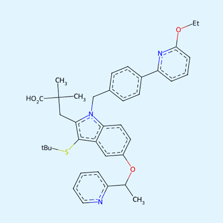 CCOc1cccc(-c2ccc(Cn3c(CC(C)(C)C(=O)O)c(SC(C)(C)C)c4cc(OC(C)c5ccccn5)ccc43)cc2)n1